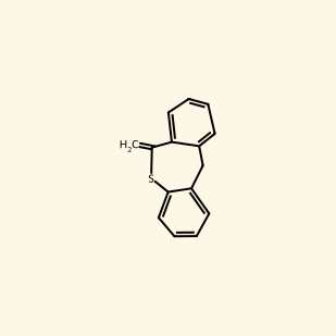 C=C1Sc2ccccc2Cc2ccccc21